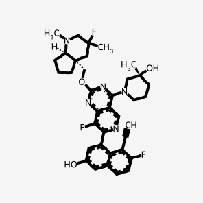 C#Cc1c(F)ccc2cc(O)cc(-c3ncc4c(N5CCC[C@@](C)(O)C5)nc(OC[C@]56CCC[C@H]5N(C)CC(C)(F)C6)nc4c3F)c12